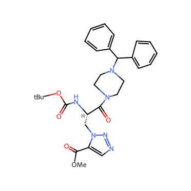 COC(=O)c1cnnn1C[C@H](NC(=O)OC(C)(C)C)C(=O)N1CCN(C(c2ccccc2)c2ccccc2)CC1